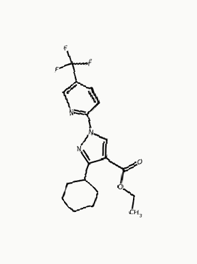 CCOC(=O)c1cn(-c2ccc(C(F)(F)F)cn2)nc1C1CCCCC1